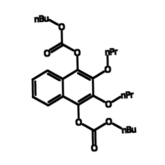 CCCCOC(=O)Oc1c(OCCC)c(OCCC)c(OC(=O)OCCCC)c2ccccc12